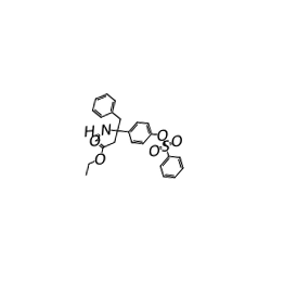 CCOC(=O)CC(N)(Cc1ccccc1)c1ccc(OS(=O)(=O)c2ccccc2)cc1